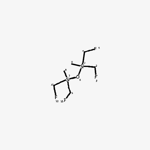 C[Si](CF)(CF)O[Si](C)(CF)CF